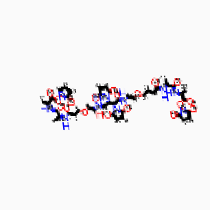 CC(NC(=O)CCOCCNCC(C(C(=O)NCCOCCCC(=O)NC(C)C(=O)NC(C)C(=O)ON1C(=O)CCC1=O)N1C(=O)C=CC1O)N1C(=O)C=CC1=O)C(=O)NC(C)C(=O)ON1CCCC1=O